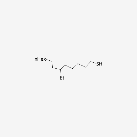 CCCCCCCCC(CC)CCCCCS